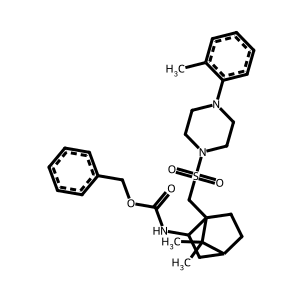 Cc1ccccc1N1CCN(S(=O)(=O)CC23CCC(CC2NC(=O)OCc2ccccc2)C3(C)C)CC1